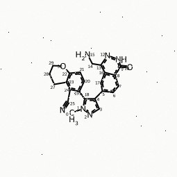 Cn1ncc(-c2ccc3c(=O)[nH]nc(CN)c3c2)c1-c1ccc2c(c1C#N)CCCO2